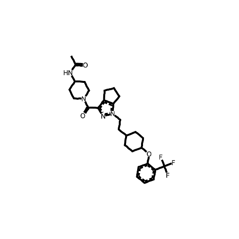 CC(=O)NC1CCN(C(=O)c2nn(CCC3CCC(Oc4ccccc4C(F)(F)F)CC3)c3c2CCC3)CC1